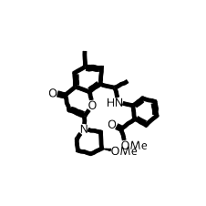 COC(=O)c1ccccc1NC(C)c1cc(C)cc2c(=O)cc(N3CCC[C@H](OC)C3)oc12